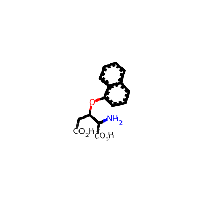 NC(C(=O)O)C(CC(=O)O)Oc1cccc2ccccc12